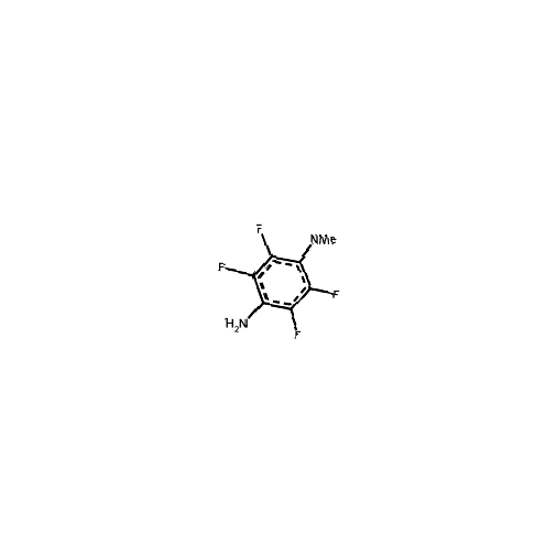 CNc1c(F)c(F)c(N)c(F)c1F